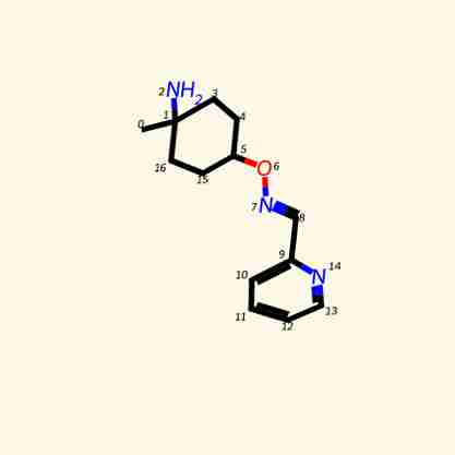 CC1(N)CCC(ON=Cc2ccccn2)CC1